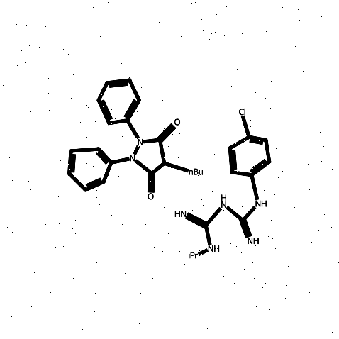 CC(C)NC(=N)NC(=N)Nc1ccc(Cl)cc1.CCCCC1C(=O)N(c2ccccc2)N(c2ccccc2)C1=O